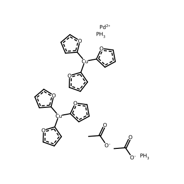 CC(=O)[O-].CC(=O)[O-].P.P.[Pd+2].c1co[c]([Cu]([c]2ccco2)[c]2ccco2)c1.c1co[c]([Cu]([c]2ccco2)[c]2ccco2)c1